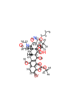 CCCCOc1noc2c1C(=O)[C@@]1(O[Si](C)(C)C(C)(C)C)C(O)=C3C(=O)c4c(c(OC)c5ccc(Br)cc5c4OC(=O)OC(C)(C)C)C[C@H]3C[C@H]1[C@@H]2N1CCOCC1